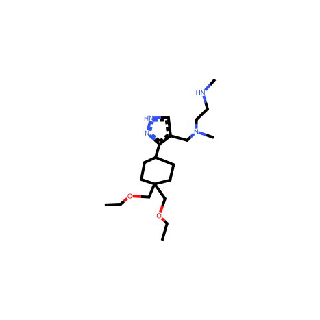 CCOCC1(COCC)CCC(c2n[nH]cc2CN(C)CCNC)CC1